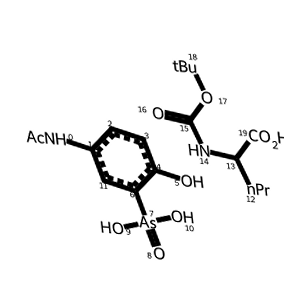 CC(=O)Nc1ccc(O)c([As](=O)(O)O)c1.CCCC(NC(=O)OC(C)(C)C)C(=O)O